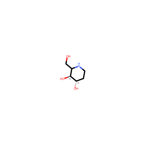 OCC1NCC[C@H](O)[C@H]1O